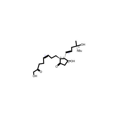 CCCC[C@](C)(O)C/C=C/[C@H]1[C@H](CC/C=C\CCC(=O)CO)C(=O)C[C@@H]1O